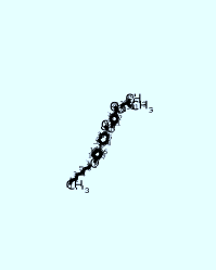 CCCCCCCCOc1ccc([C@H]2CC[C@H](C(=O)Oc3ccc(C(=O)OCC(C)CC)cc3)CC2)cc1